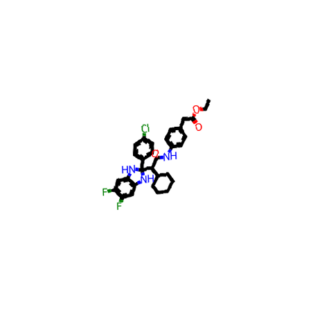 CCOC(=O)Cc1ccc(NC(=O)C(C2CCCCC2)C2(c3ccc(Cl)cc3)Nc3cc(F)c(F)cc3N2)cc1